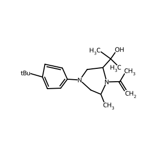 C=C(C)N1C(C)CN(c2ccc(C(C)(C)C)cc2)CC1C(C)(C)O